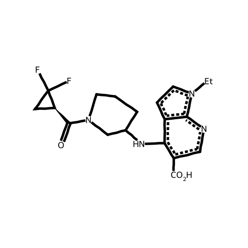 CCn1ccc2c(NC3CCCN(C(=O)[C@H]4CC4(F)F)C3)c(C(=O)O)cnc21